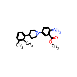 COC(=O)c1cc(N2CCC(c3cccc(C)c3C)CC2)ccc1N